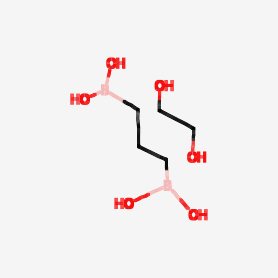 OB(O)CCCB(O)O.OCCO